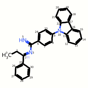 CC/C(=N\C(=N)c1ccc(-n2c3ccccc3c3ccccc32)cc1)c1ccccc1